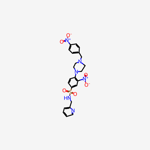 O=[N+]([O-])c1ccc(CN2CCN(c3ccc(S(=O)(=O)NCc4ccccn4)cc3[N+](=O)[O-])CC2)cc1